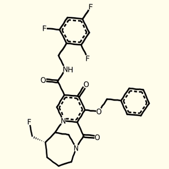 O=C(NCc1c(F)cc(F)cc1F)c1cn2c(c(OCc3ccccc3)c1=O)C(=O)N1CCC[C@H](CF)C2C1